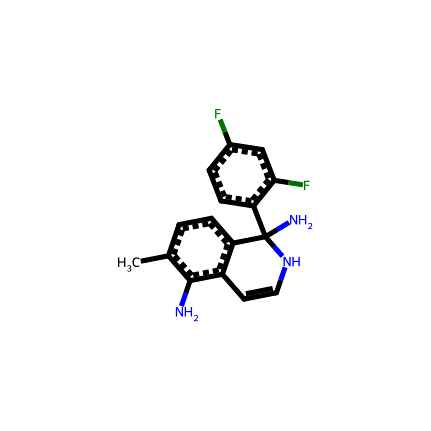 Cc1ccc2c(c1N)C=CNC2(N)c1ccc(F)cc1F